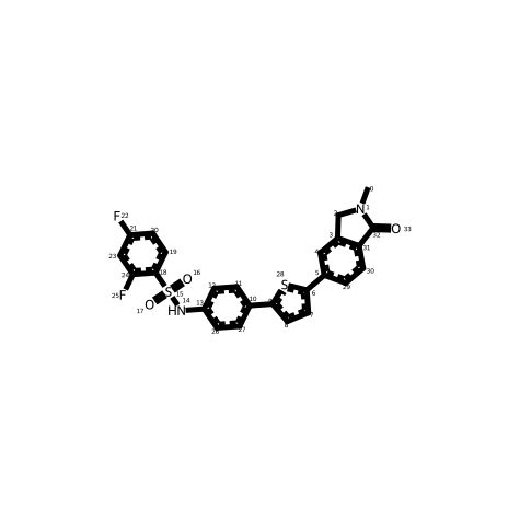 CN1Cc2cc(-c3ccc(-c4ccc(NS(=O)(=O)c5ccc(F)cc5F)cc4)s3)ccc2C1=O